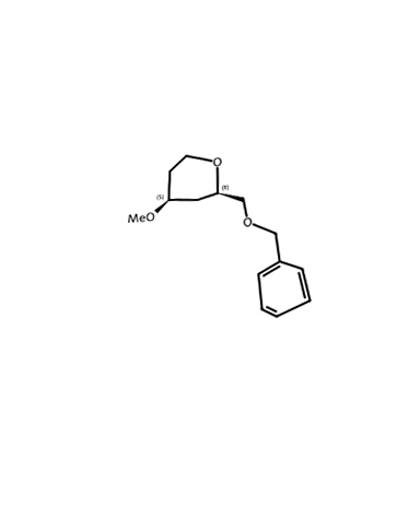 CO[C@H]1CCO[C@@H](COCc2ccccc2)C1